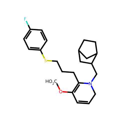 O=C(O)OC1=C(CCCSc2ccc(F)cc2)N(CC2CC3CCC2C3)CC=C1